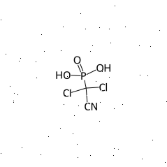 N#CC(Cl)(Cl)P(=O)(O)O